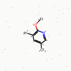 CCOc1ncc(C(F)(F)F)cc1C(C)C